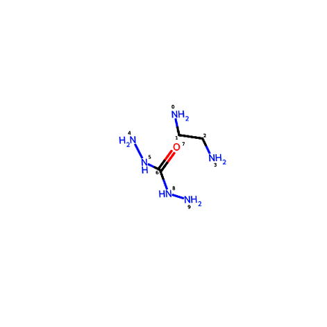 NCCN.NNC(=O)NN